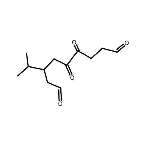 CC(C)C(CC=O)CC(=O)C(=O)CCC=O